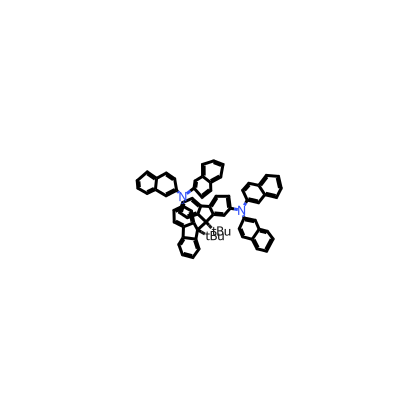 CC(C)(C)C1(C2(C(C)(C)C)c3ccccc3-c3ccc(N(c4ccc5ccccc5c4)c4ccc5ccccc5c4)cc32)c2ccccc2-c2ccc(N(c3ccc4ccccc4c3)c3ccc4ccccc4c3)cc21